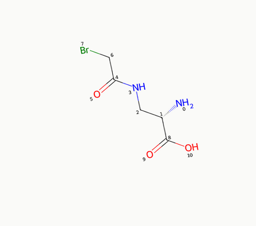 N[C@@H](CNC(=O)CBr)C(=O)O